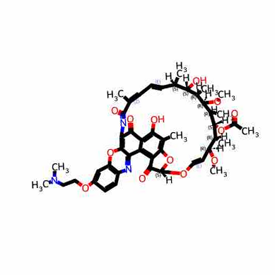 CO[C@H]1[C@@H](C)[C@H](OC(C)=O)[C@H](C)[C@@H](OC)/C=C/O[C@H]2Oc3c(C)c(O)c4c(=O)c(c5oc6cc(OCCN(C)C)ccc6nc-5c4c3C2=O)NC(=O)/C(C)=C\C=C\[C@H](C)[C@H](O)[C@H]1C